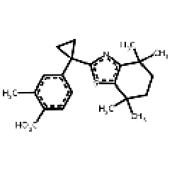 Cc1cc(C2(c3nc4c(s3)C(C)(C)CCC4(C)C)CC2)ccc1C(=O)O